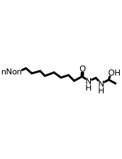 CCCCCCCCCCCCCCCCCC(=O)NCNC(C)O